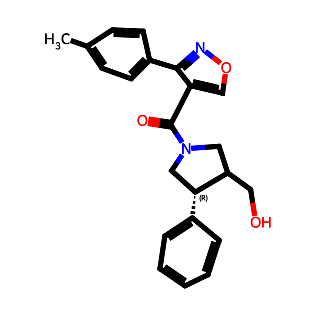 Cc1ccc(-c2nocc2C(=O)N2CC(CO)[C@H](c3ccccc3)C2)cc1